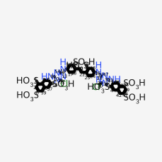 O=S(=O)(O)c1cc(S(=O)(=O)O)c2cc(Nc3nc(Cl)nc(Nc4ccc(C=Cc5ccc(Nc6nc(Cl)nc(Nc7cc8c(S(=O)(=O)O)cc(S(=O)(=O)O)cc8cc7S(=O)(=O)O)n6)cc5S(=O)(=O)O)c(S(=O)(=O)O)c4)n3)c(S(=O)(=O)O)cc2c1